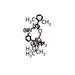 Cc1cccc(C)c1-c1cc2nc(n1)N[S+]([O-])c1cccc(c1)C(=O)N(N(C)C(=O)OC(C)(C)C)[C@H](CC1(C(F)(F)F)CC1)CO2